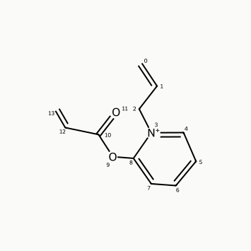 C=CC[n+]1ccccc1OC(=O)C=C